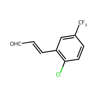 O=CC=Cc1cc(C(F)(F)F)ccc1Cl